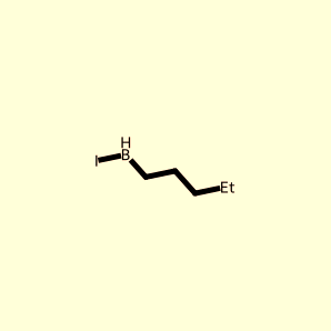 CCCCCBI